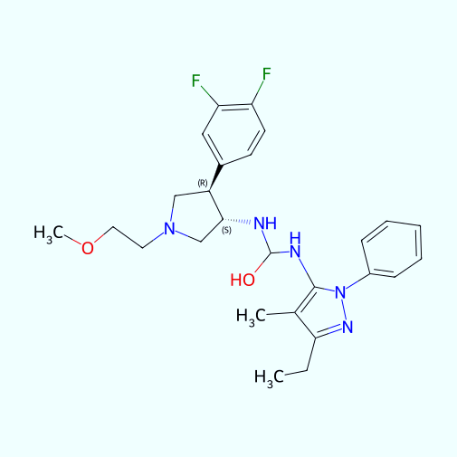 CCc1nn(-c2ccccc2)c(NC(O)N[C@@H]2CN(CCOC)C[C@H]2c2ccc(F)c(F)c2)c1C